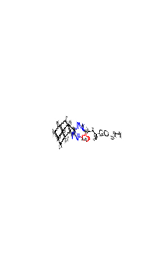 C=C(Cc1nc(C23CC4CC5CC(C2)C543)no1)C(=O)O